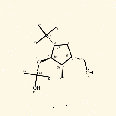 C[C@@H]1[C@@H](CO)C[C@@H](C(C)(C)C)[C@@H]1OC(C)(C)O